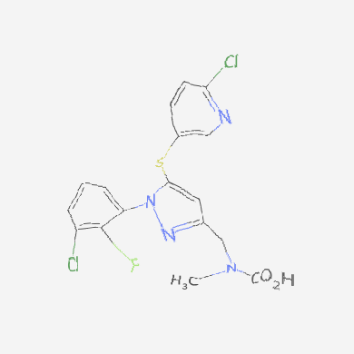 CN(Cc1cc(Sc2ccc(Cl)nc2)n(-c2cccc(Cl)c2F)n1)C(=O)O